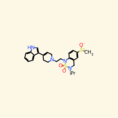 CC(C)N1Cc2cc([S+](C)[O-])ccc2N(CCN2CC=C(c3c[nH]c4ccccc34)CC2)S1(=O)=O